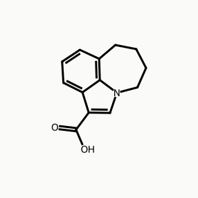 O=C(O)c1cn2c3c(cccc13)CCCC2